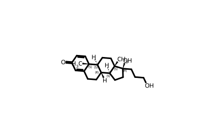 C[C@]12C=CC(=O)C=C1CC[C@@H]1[C@@H]2CC[C@@]2(C)[C@H]1CC[C@@]2(O)CCCO